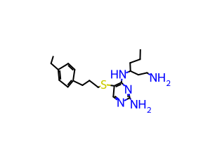 CCCC(CCN)Nc1nc(N)ncc1SCCCc1ccc(CC)cc1